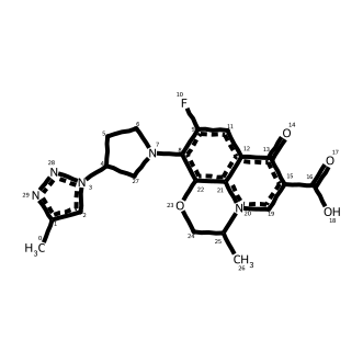 Cc1cn(C2CCN(c3c(F)cc4c(=O)c(C(=O)O)cn5c4c3OCC5C)C2)nn1